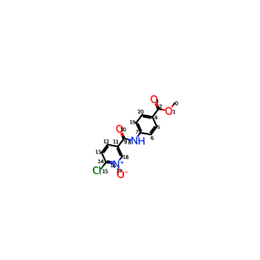 COC(=O)c1ccc(NC(=O)c2ccc(Cl)[n+]([O-])c2)cc1